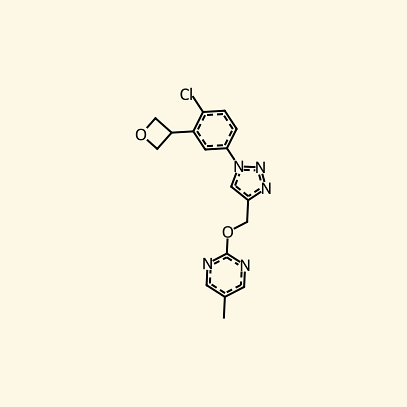 Cc1cnc(OCc2cn(-c3ccc(Cl)c(C4COC4)c3)nn2)nc1